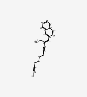 OCC(C#CCCCCC#CI)=Cc1ccc2ccccc2c1